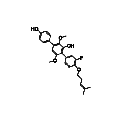 COc1cc(-c2ccc(O)cc2)c(OC)c(O)c1-c1ccc(OCCC=C(C)C)c(F)c1